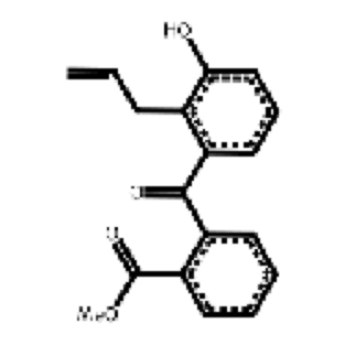 C=CCc1c(O)cccc1C(=O)c1ccccc1C(=O)OC